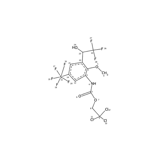 COc1c(NC(=O)OCC(Cl)(Cl)Cl)cc(S(F)(F)(F)(F)F)cc1C(O)C(F)(F)F